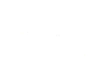 O=C(c1ccc(O)cc1)C(O)c1cc(=O)c(O)co1